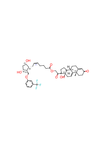 C[C@]12CCC(=O)C=C1CC[C@@H]1C2=CC[C@@]2(C)[C@H]1CC[C@]2(O)C(=O)COC(=O)CCC/C=C\C[C@@H]1[C@@H](COc2cccc(C(F)(F)F)c2)[C@H](O)C[C@@H]1O